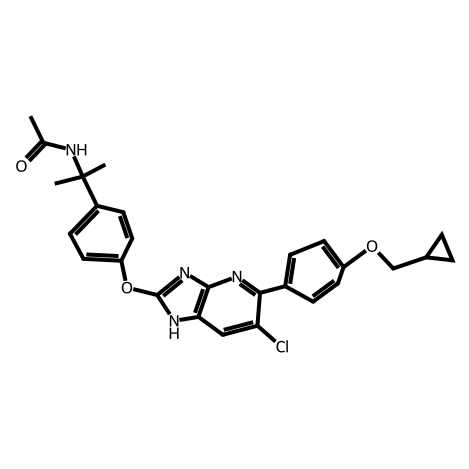 CC(=O)NC(C)(C)c1ccc(Oc2nc3nc(-c4ccc(OCC5CC5)cc4)c(Cl)cc3[nH]2)cc1